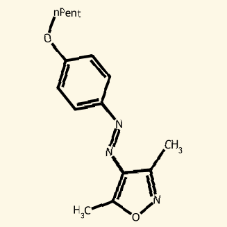 CCCCCOc1ccc(N=Nc2c(C)noc2C)cc1